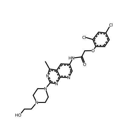 Cc1nc(N2CCN(CCO)CC2)nc2ncc(NC(=O)COc3ccc(Cl)cc3Cl)cc12